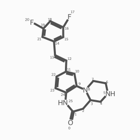 O=C1CC2CNCCN2c2cc(/C=C/c3cc(F)cc(F)c3)ccc2N1